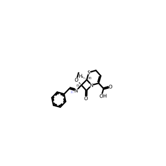 CO[C@@]1(/N=C/c2ccccc2)C(=O)N2C(C(=O)O)=CCS[C@@H]21